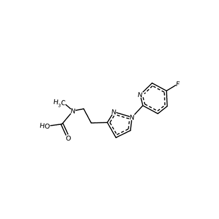 CN(CCc1ccn(-c2ccc(F)cn2)n1)C(=O)O